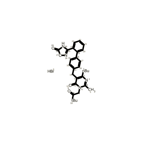 Br.CCCCc1nc(C)n(CC(=O)C(C)(C)C)c(=O)c1Cc1ccc(-c2ccccc2-c2noc(=O)[nH]2)cc1